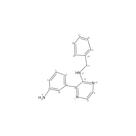 Nc1cccc(-c2nccnc2NCc2ccccc2)c1